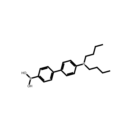 CCCCN(CCCC)c1ccc(-c2ccc(B(O)O)cc2)cc1